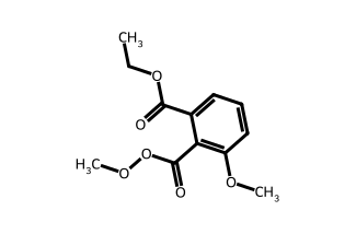 CCOC(=O)c1cccc(OC)c1C(=O)OOC